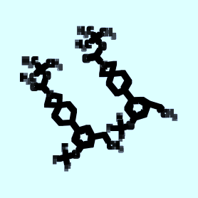 C=Cc1cc(OC(F)(F)F)cc(C2=CCC3(CC2)CN(C(=O)OC(C)(C)C)C3)c1.CCc1cc(OC(F)(F)F)cc(C2CCC3(CC2)CN(C(=O)OC(C)(C)C)C3)c1